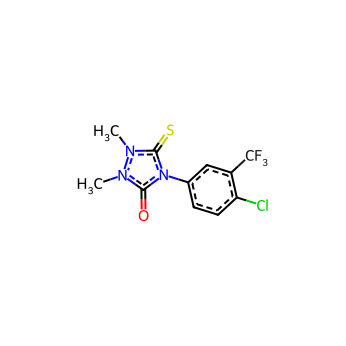 Cn1c(=O)n(-c2ccc(Cl)c(C(F)(F)F)c2)c(=S)n1C